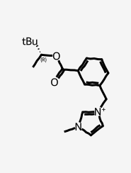 C[C@@H](OC(=O)c1cccc(C[n+]2ccn(C)c2)c1)C(C)(C)C